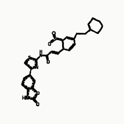 O=C(C=CC1C=CC(CCC2CCCCC2)=CC1=S(=O)=O)Nc1nc(-c2ccc3[nH]c(=O)oc3c2)cs1